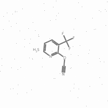 N#COc1ncccc1C(F)(F)F.S